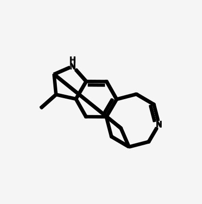 CC1C2CC3C/N=C\CC4=C(C3)CC1C(=C4)N2